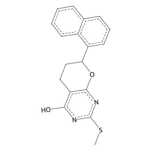 CSc1nc(O)c2c(n1)OC(c1cccc3ccccc13)CC2